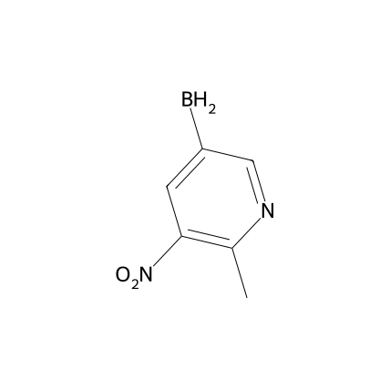 Bc1cnc(C)c([N+](=O)[O-])c1